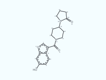 O=C(c1coc2cc(O)ccc12)N1CCC(N2CCCC2=O)CC1